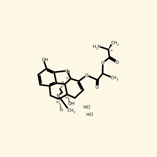 CC(OC(=O)[C@H](C)N)C(=O)OC1=CC[C@@]2(O)[C@H]3Cc4ccc(O)c5c4[C@@]2(CCN3C)[C@H]1O5.Cl.Cl